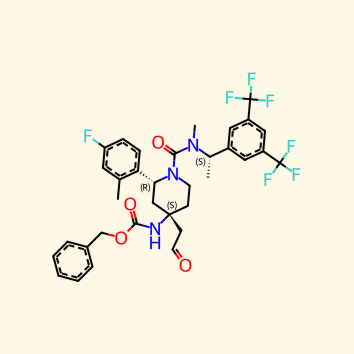 Cc1cc(F)ccc1[C@H]1C[C@@](CC=O)(NC(=O)OCc2ccccc2)CCN1C(=O)N(C)[C@@H](C)c1cc(C(F)(F)F)cc(C(F)(F)F)c1